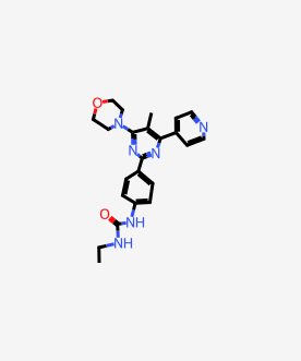 CCNC(=O)Nc1ccc(-c2nc(-c3ccncc3)c(C)c(N3CCOCC3)n2)cc1